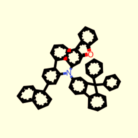 c1ccc(-c2ccc(-c3cccc4ccccc34)cc2N(c2ccc3c(c2)C(c2ccccc2)(c2ccccc2)c2ccccc2-3)c2ccc3c(c2)oc2ccccc23)cc1